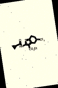 CCOC(=O)c1c(NC(=O)C2CC2)sc2c1CC(C(F)(F)F)CC2